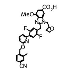 COc1cc(C(=O)O)cc2c1nc(Cc1cc(F)c(-c3cccc(OCc4ccc(C#N)cc4C)n3)cc1F)n2CC1CCO1